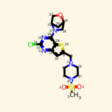 CS(=O)(=O)N1CCN(Cc2cc3nc(Cl)nc(N4CC5CC4CO5)c3s2)CC1